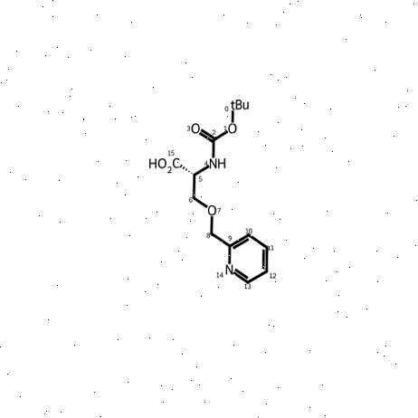 CC(C)(C)OC(=O)N[C@H](COCc1ccccn1)C(=O)O